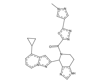 Cn1cc(-c2nnc(C(=O)N3CCc4[nH]cnc4C3c3cc4c(C5CC5)cccn4n3)o2)cn1